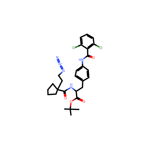 CC(C)(C)OC(=O)C(Cc1ccc(NC(=O)c2c(Cl)cccc2Cl)cc1)NC(=O)C1(CCN=[N+]=[N-])CCCC1